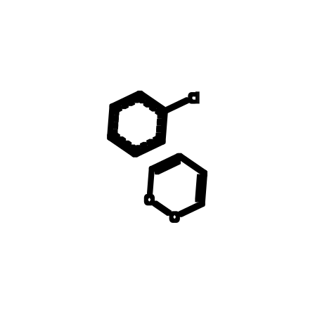 C1=COOC=C1.Clc1ccccc1